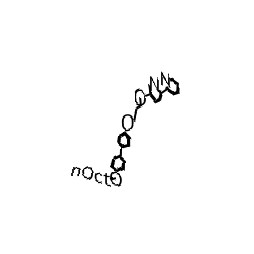 CCCCCCCCOc1ccc(-c2ccc(OCCCOc3ccc(-c4ccccn4)nc3)cc2)cc1